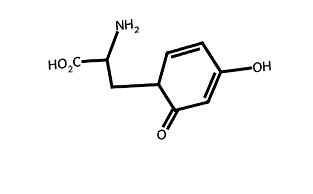 NC(CC1C=CC(O)=CC1=O)C(=O)O